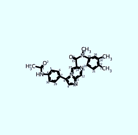 CC(=O)Nc1ccc(-c2cnc3cnc(C(=O)N(C)c4ccc(C)c(C)c4)cn23)cc1